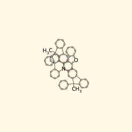 CC1(c2ccccc2)c2ccccc2-c2ccc(N(c3ccc4c(c3)C(C)(c3ccccc3)c3ccccc3-4)c3ccccc3-c3ccccc3-c3cccc4oc5ccccc5c34)cc21